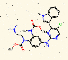 CC(=O)N(C(=O)OC(C)(C)C)c1cc(Nc2ncc(Cl)c(-c3cn(C)c4ccccc34)n2)ccc1N(CCN(C)C)C(=O)OC(C)(C)C